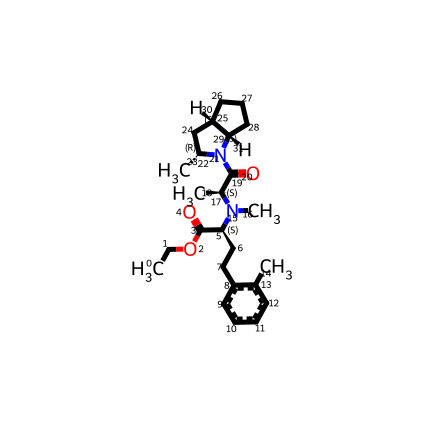 CCOC(=O)[C@H](CCc1ccccc1C)N(C)[C@@H](C)C(=O)N1[C@H](C)C[C@@H]2CCC[C@@H]21